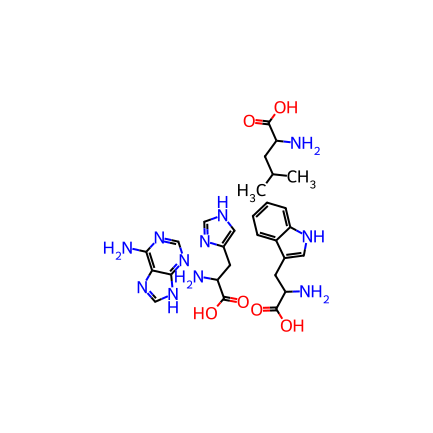 CC(C)CC(N)C(=O)O.NC(Cc1c[nH]c2ccccc12)C(=O)O.NC(Cc1c[nH]cn1)C(=O)O.Nc1ncnc2[nH]cnc12